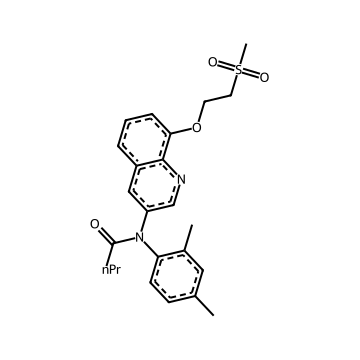 CCCC(=O)N(c1cnc2c(OCCS(C)(=O)=O)cccc2c1)c1ccc(C)cc1C